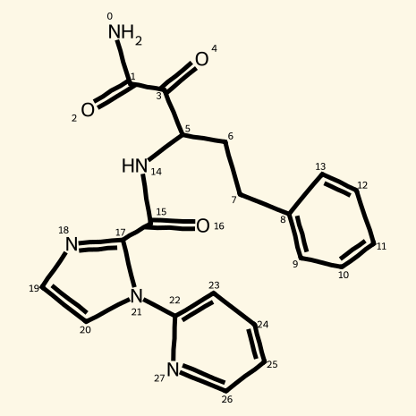 NC(=O)C(=O)C(CCc1ccccc1)NC(=O)c1nccn1-c1ccccn1